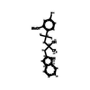 COc1cc(F)ccc1C(C)(C)CC(O)(Cc1cc2ccncc2[nH]1)C(F)(F)F